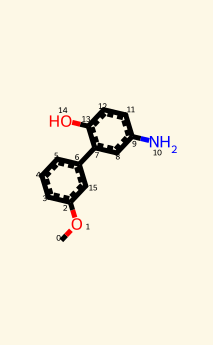 COc1cccc(-c2cc(N)ccc2O)c1